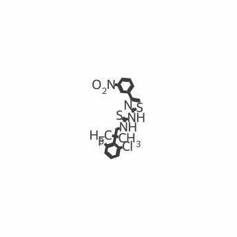 CC(C)(CNC(=S)Nc1nc(-c2cccc([N+](=O)[O-])c2)cs1)c1c(F)cccc1Cl